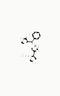 CCCn1cncc1-c1cn(C(c2ccccc2)c2scnc2C)nn1